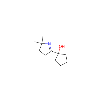 CC1(C)CCC(C2(O)CCCC2)=N1